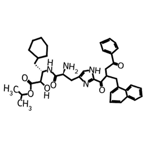 CC(C)OC(=O)C(O)[C@H](CC1CCCCC1)NC(=O)[C@@H](N)Cc1c[nH]c(C(=O)C(CC(=O)c2ccccc2)Cc2cccc3ccccc23)n1